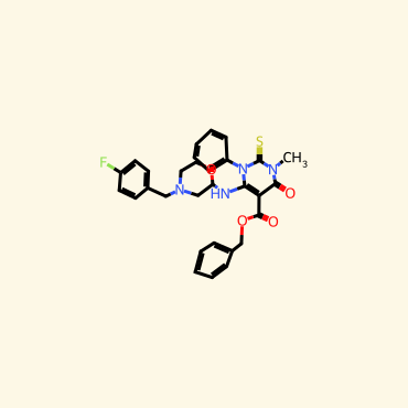 Cn1c(=O)c(C(=O)OCc2ccccc2)c(NC2CN(Cc3ccc(F)cc3)CCO2)n(-c2ccccc2)c1=S